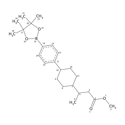 COC(=O)CC(C)C1CCC(c2ccc(B3OC(C)(C)C(C)(C)O3)cc2)CC1